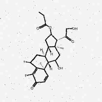 CCC(=O)OC1C[C@H]2[C@@H]3CC(F)C4=C(F)C(=O)C=C[C@]4(C)[C@H]3C(O)C[C@]2(C)[C@H]1C(=O)CO